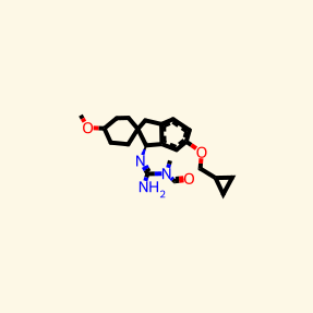 COC1CCC2(CC1)Cc1ccc(OCC3CC3)cc1[C@H]2/N=C(/N)N(C)C=O